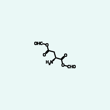 N[C@@H](CC(=O)OC=O)C(=O)OC=O